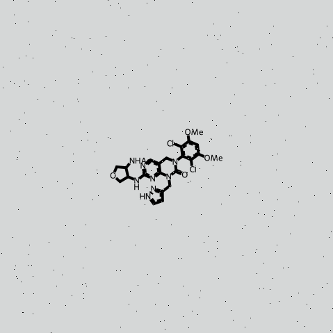 COc1cc(OC)c(Cl)c(N2Cc3cnc(NC4COCC4NC(C)=O)nc3N(Cc3cc[nH]n3)C2=O)c1Cl